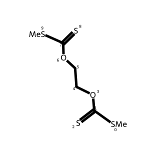 CSC(=S)OCCOC(=S)SC